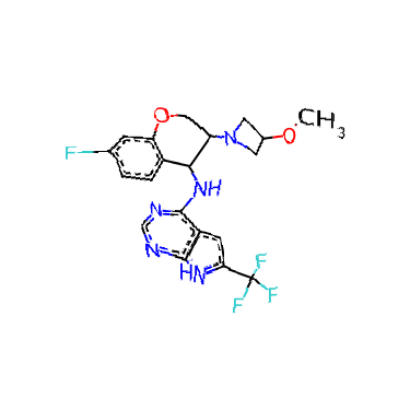 COC1CN(C2COc3cc(F)ccc3C2Nc2ncnc3[nH]c(C(F)(F)F)cc23)C1